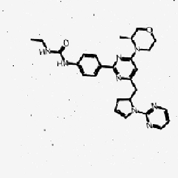 CCNC(=O)Nc1ccc(-c2nc(CC3CC=CN3c3ncccn3)cc(N3CCOC[C@@H]3C)n2)cc1